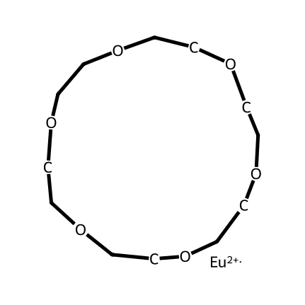 C1COCCOCCOCCOCCOCCO1.[Eu+2]